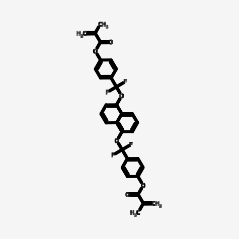 C=C(C)C(=O)Oc1ccc(C(F)(F)Oc2cccc3c(OC(F)(F)c4ccc(OC(=O)C(=C)C)cc4)cccc23)cc1